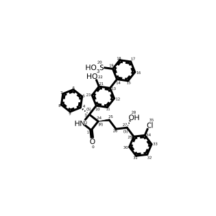 O=C1N[C@@](c2ccccc2)(c2ccc(-c3ccccc3S(=O)(=O)O)c(O)c2)[C@H]1CC[C@H](O)c1ccccc1Cl